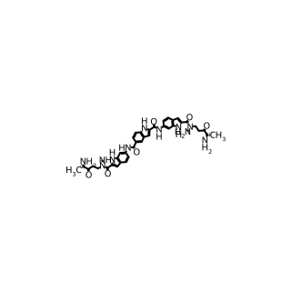 C[C@H](N)C(=O)CCN(N)C(=O)c1cc2ccc(NC(=O)c3ccc4[nH]c(C(=O)Nc5ccc6cc(C(=O)N(N)CCC(=O)[C@H](C)N)[nH]c6c5)cc4c3)cc2[nH]1